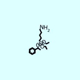 CCO[Si](CCCCCN)(OCC)OC(C)c1ccccc1